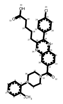 Cc1cnccc1N1CCN(C(=O)c2ccc3nc(-c4ccc(Cl)cc4)c(CCCCC(=O)O)nc3c2)CC1